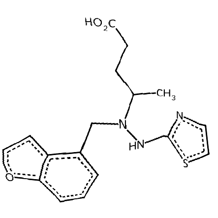 CC(CCC(=O)O)N(Cc1cccc2occc12)Nc1nccs1